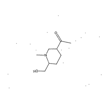 CC(=O)C1CCC(CO)N(C)C1